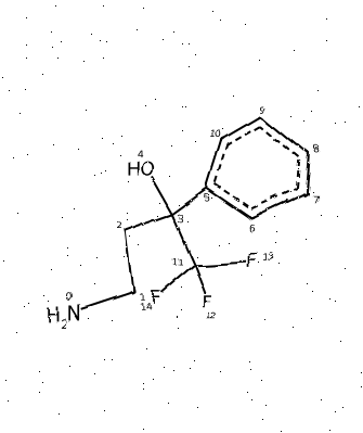 NCCC(O)(c1ccccc1)C(F)(F)F